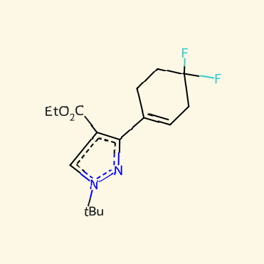 CCOC(=O)c1cn(C(C)(C)C)nc1C1=CCC(F)(F)CC1